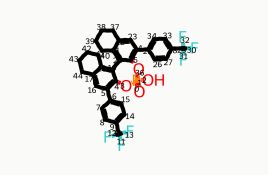 O=P1(O)Oc2c(-c3ccc(C(F)(F)F)cc3)cc3c(c2-c2c4c(cc(-c5ccc(C(F)(F)F)cc5)c2O1)CCCC4)CCCC3